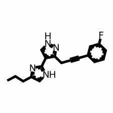 CCCc1c[nH]c(-c2c[nH]nc2CC#Cc2cccc(F)c2)n1